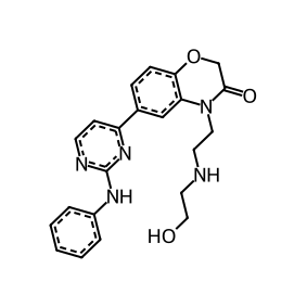 O=C1COc2ccc(-c3ccnc(Nc4ccccc4)n3)cc2N1CCNCCO